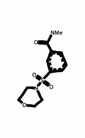 CNC(=O)c1cccc(S(=O)(=O)N2CCOCC2)c1